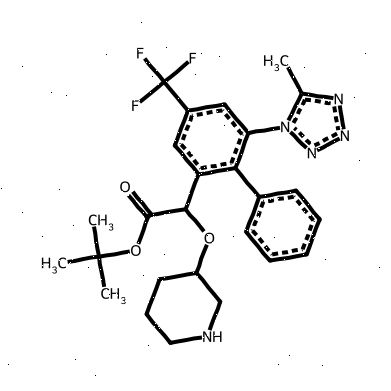 Cc1nnnn1-c1cc(C(F)(F)F)cc(C(OC2CCCNC2)C(=O)OC(C)(C)C)c1-c1ccccc1